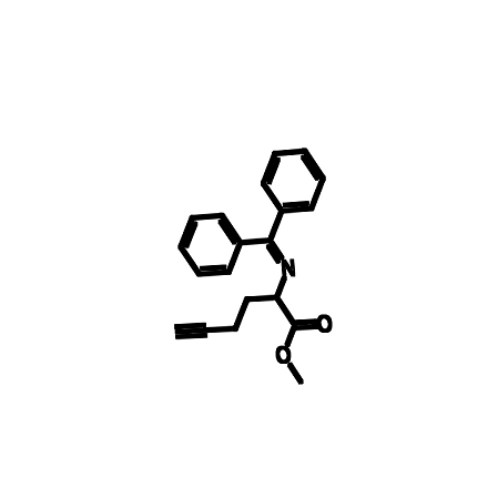 C#CCCC(N=C(c1ccccc1)c1ccccc1)C(=O)OC